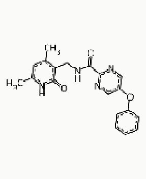 Cc1cc(C)c(CNC(=O)c2ncc(Oc3ccccc3)cn2)c(=O)[nH]1